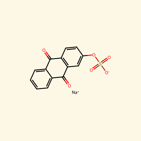 O=C1c2ccccc2C(=O)c2cc(OS(=O)(=O)[O-])ccc21.[Na+]